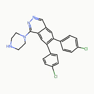 Clc1ccc(-c2cc3cnnc(N4CCNCC4)c3cc2-c2ccc(Cl)cc2)cc1